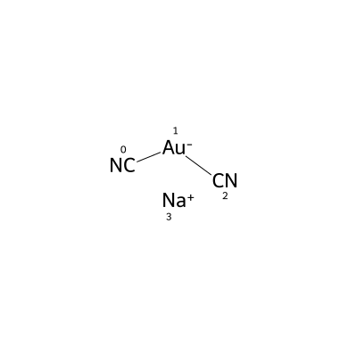 N#[C][Au-][C]#N.[Na+]